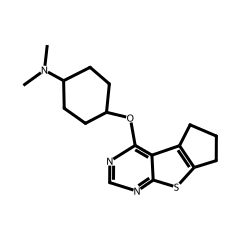 CN(C)C1CCC(Oc2ncnc3sc4c(c23)CCC4)CC1